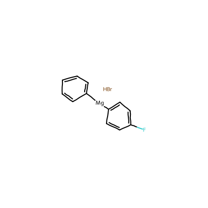 Br.Fc1cc[c]([Mg][c]2ccccc2)cc1